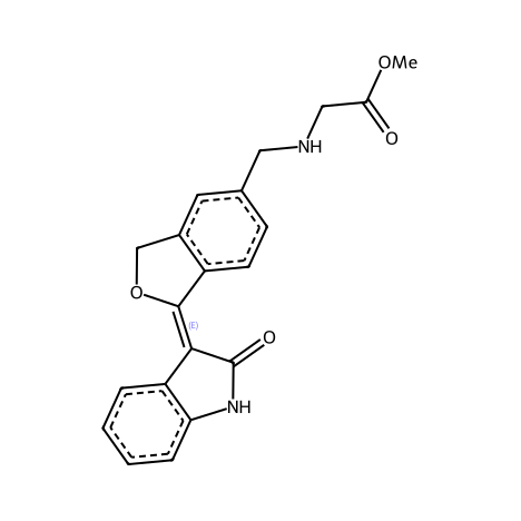 COC(=O)CNCc1ccc2c(c1)CO/C2=C1/C(=O)Nc2ccccc21